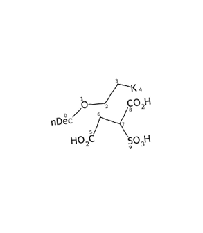 CCCCCCCCCCOC[CH2][K].O=C(O)CC(C(=O)O)S(=O)(=O)O